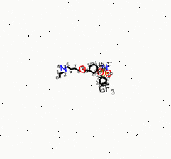 C=CCN(C)CCCCOC[C@H]1CC[C@H](CN(C)S(=O)(=O)c2ccc(C(F)(F)F)cc2)CC1